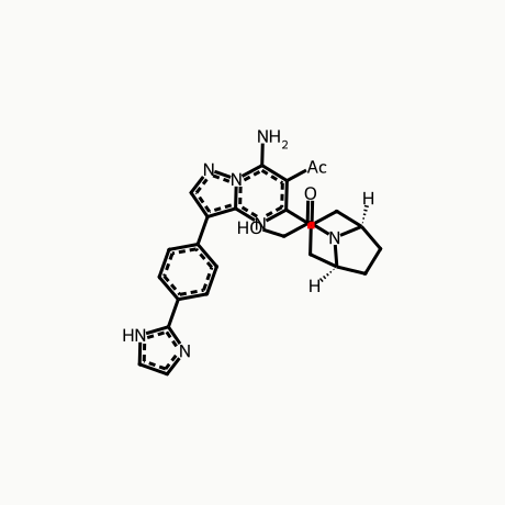 CC(=O)c1c(C2C[C@H]3CC[C@@H](C2)N3C(=O)CO)nc2c(-c3ccc(-c4ncc[nH]4)cc3)cnn2c1N